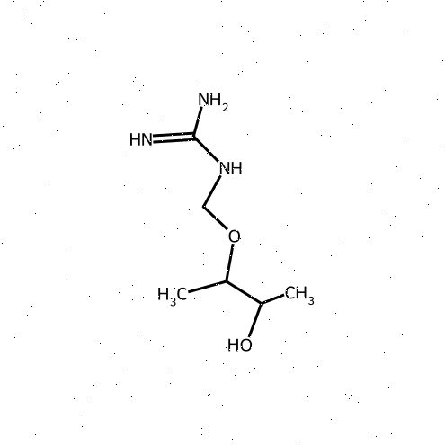 CC(O)C(C)OCNC(=N)N